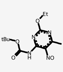 CCOc1nc(C)c(N=O)c(NC(=O)OC(C)(C)C)n1